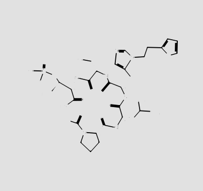 CC(=O)N1CCC[C@H]1C(=O)N[C@@H](CC(C)C)C(=O)N[C@@H](Cc1cncn1CCc1cccs1)C(=O)N[C@@H](CO)C(=O)N[C@H](C(N)=O)[C@@H](C)OP(=O)(O)O